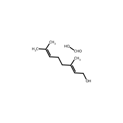 CC(C)=CCC/C(C)=C/CO.O=CO